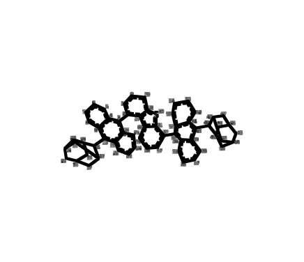 c1cc(-c2c3ccccc3c(C3C4CC5CC(C4)CC3C5)c3ccccc23)c2c(c1)sc1c(-c3c4ccccc4c(C4C5CC6CC(C5)CC4C6)c4ccccc34)cccc12